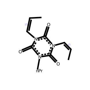 C/C=C\n1c(=O)n(/C=C\C)c(=O)n(CCC)c1=O